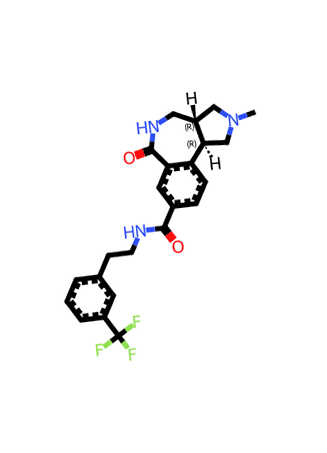 CN1C[C@H]2CNC(=O)c3cc(C(=O)NCCc4cccc(C(F)(F)F)c4)ccc3[C@@H]2C1